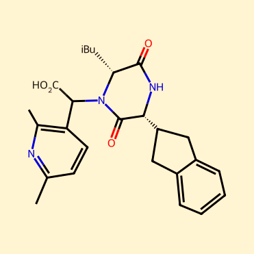 CCC(C)[C@@H]1C(=O)N[C@H](C2Cc3ccccc3C2)C(=O)N1C(C(=O)O)c1ccc(C)nc1C